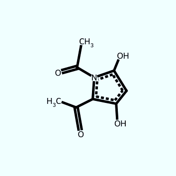 CC(=O)c1c(O)cc(O)n1C(C)=O